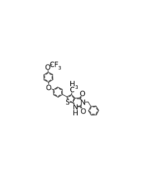 Cc1c(-c2ccc(Oc3ccc(OC(F)(F)F)cc3)cc2)sc2[nH]c(=O)n(Cc3ccccc3)c(=O)c12